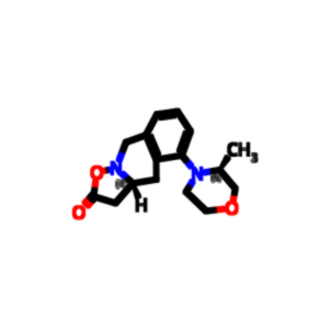 C[C@H]1COCCN1c1cccc2c1C[C@@H]1CC(=O)ON1C2